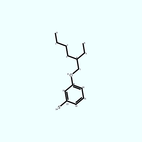 CCCCC(CC)COc1cccc([S])c1